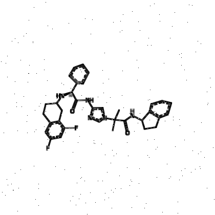 CC(C)(C(=O)NC1CCc2ccccc21)n1cnc(NC(=O)[C@@H](NC2CCc3cc(F)cc(F)c3C2)c2ccccc2)c1